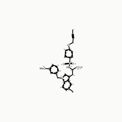 CC#CCOc1ccc(S(=O)(=O)NC(Cc2cn(Cc3cccc(OC)c3)c3ccc(C)cc23)C(=O)O)cc1